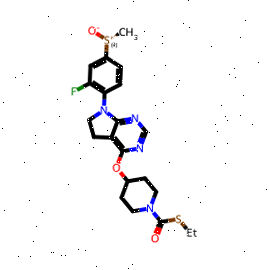 CCSC(=O)N1CCC(Oc2ncnc3c2CCN3c2ccc([S@+](C)[O-])cc2F)CC1